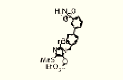 CCCCc1nc(SC)c(OC(=O)OCC)n1Cc1ccc(-c2cccc(S(N)(=O)=O)c2)cc1